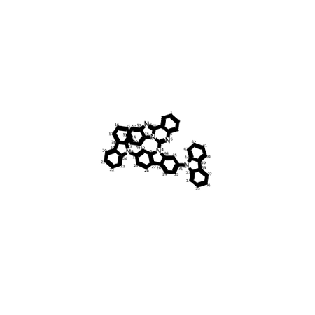 c1ccc2c(c1)nc(-n1c3cc(-n4c5ccccc5c5ccccc54)ccc3c3ccc(-n4c5ccccc5c5ccccc54)cc31)n1c3ccccc3nc21